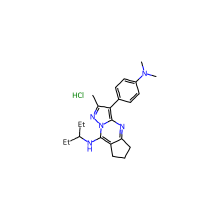 CCC(CC)Nc1c2c(nc3c(-c4ccc(N(C)C)cc4)c(C)nn13)CCC2.Cl